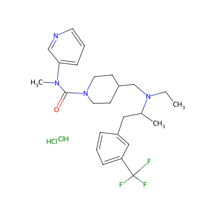 CCN(CC1CCN(C(=O)N(C)c2cccnc2)CC1)C(C)Cc1cccc(C(F)(F)F)c1.Cl.Cl